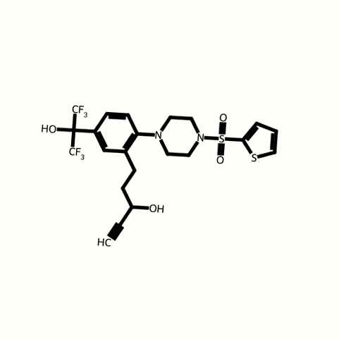 C#CC(O)CCc1cc(C(O)(C(F)(F)F)C(F)(F)F)ccc1N1CCN(S(=O)(=O)c2cccs2)CC1